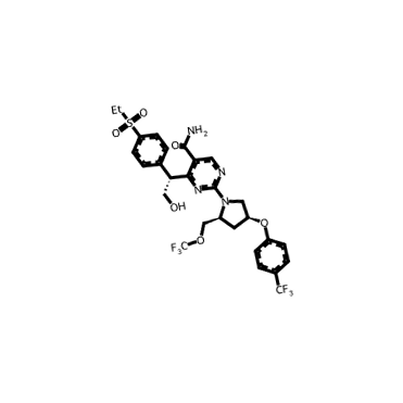 CCS(=O)(=O)c1ccc([C@@H](CO)c2nc(N3C[C@@H](Oc4ccc(C(F)(F)F)cc4)C[C@H]3COC(F)(F)F)ncc2C(N)=O)cc1